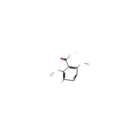 COc1ccc(F)c(OC)c1C(=O)O